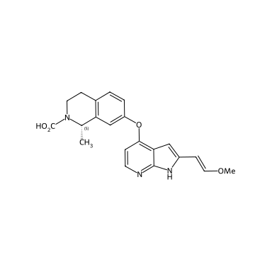 COC=Cc1cc2c(Oc3ccc4c(c3)[C@H](C)N(C(=O)O)CC4)ccnc2[nH]1